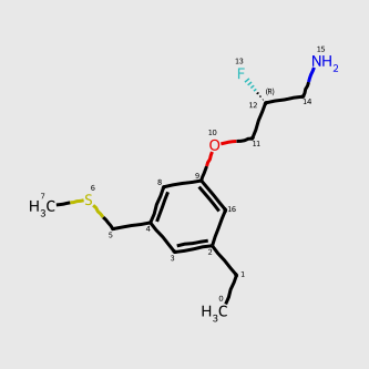 CCc1cc(CSC)cc(OC[C@H](F)CN)c1